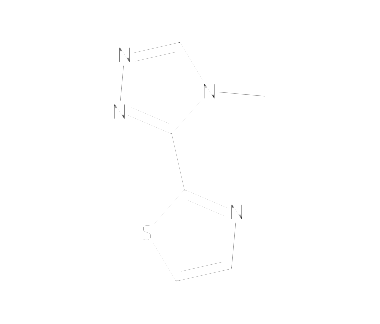 Cn1cnnc1-c1nccs1